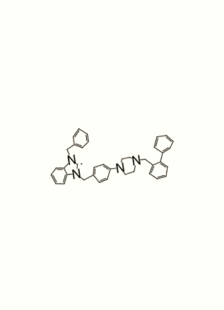 [CH]1N(Cc2ccccc2)c2ccccc2N1Cc1ccc(N2CCN(Cc3ccccc3-c3ccccc3)CC2)cc1